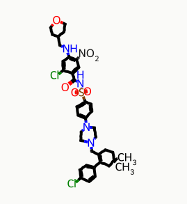 CC1(C)CCC(CN2CCN(c3ccc(S(=O)(=O)NC(=O)c4cc([N+](=O)[O-])c(NCC5CCOCC5)cc4Cl)cc3)CC2)=C(c2ccc(Cl)cc2)C1